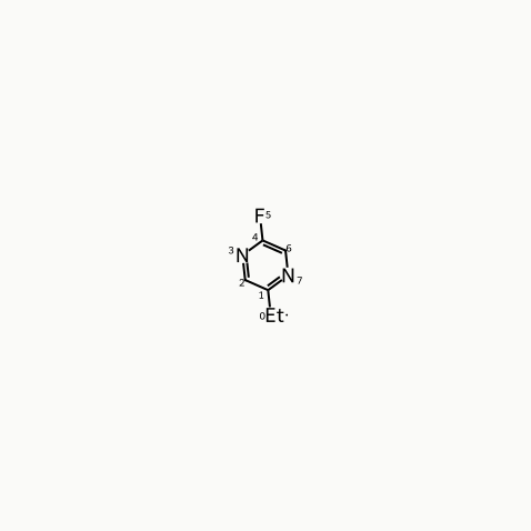 C[CH]c1cnc(F)cn1